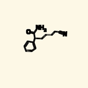 N#CCCCCC(C(N)=O)c1ccccc1